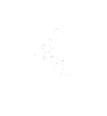 CCc1c(C(F)F)nc(N2C[C@@H](O)[C@@H]2C)nc1N1C[C@@H]2[C@@H](CC(=O)O)[C@@H]2C1